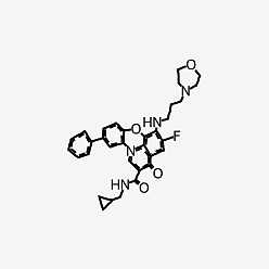 O=C(NCC1CC1)c1cn2c3c(c(NCCCN4CCOCC4)c(F)cc3c1=O)Oc1ccc(-c3ccccc3)cc1-2